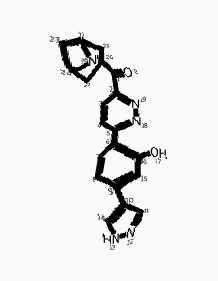 O=C(c1ccc(-c2ccc(-c3cn[nH]c3)cc2O)nn1)C1CC2CC(C1)N2